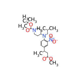 COC(=O)CC(C)c1ccc(N(CC(C)C)C2CCN(C(=O)OC(C)(C)C)CC2)c([N+](=O)[O-])c1